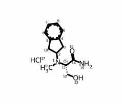 CN(C1Cc2ccccc2C1)[C@@H](CO)C(N)=O.Cl